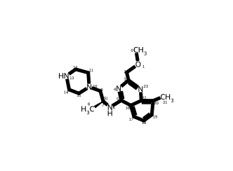 COCc1nc(N[C@@H](C)CN2CCNCC2)c2cccc(C)c2n1